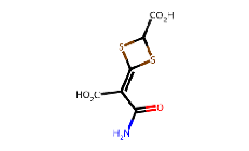 NC(=O)C(C(=O)O)=C1SC(C(=O)O)S1